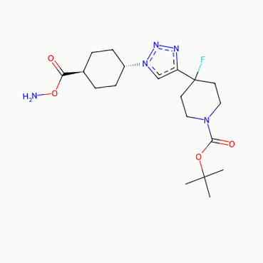 CC(C)(C)OC(=O)N1CCC(F)(c2cn([C@H]3CC[C@H](C(=O)ON)CC3)nn2)CC1